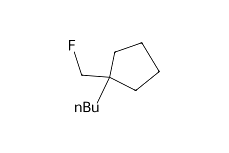 CCCCC1(CF)CCCC1